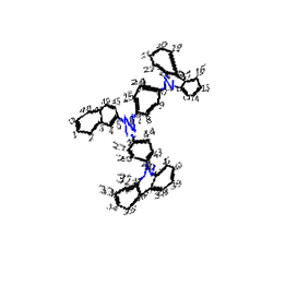 c1ccc2cc(N(c3ccc(-n4c5ccccc5c5ccccc54)cc3)c3ccc(-n4c5ccccc5c5ccccc54)cc3)ccc2c1